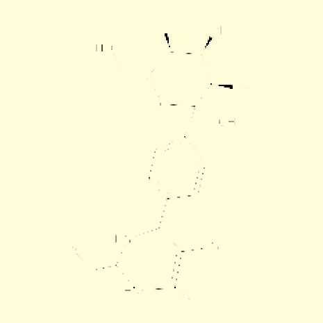 CC(=O)C1=C(C)NC(C=S)NC1c1ccc([C@@]2(O)O[C@H](CO)[C@@H](O)[C@@H](O)[C@H]2O)cc1